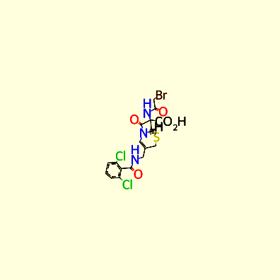 O=C(CBr)NC1(C(=O)O)C(=O)N2C=C(CNC(=O)c3c(Cl)cccc3Cl)CS[C@H]21